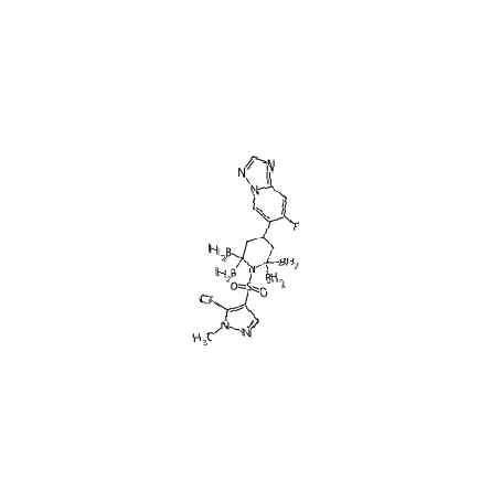 BC1(B)CC(c2cn3ncnc3cc2F)CC(B)(B)N1S(=O)(=O)c1cnn(C)c1Cl